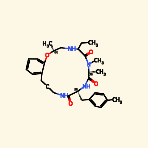 CCC1NC[C@@H](C)Oc2ccccc2CCCNC(=O)[C@@H](Cc2ccc(C)cc2)NC(=O)[C@@H](C)N(C)C1=O